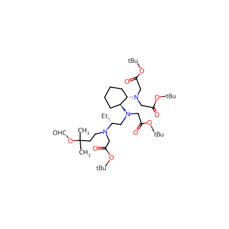 CC[C@H](CN(CC(=O)OC(C)(C)C)[C@H]1CCCC[C@@H]1N(CC(=O)OC(C)(C)C)CC(=O)OC(C)(C)C)N(CCC(C)(C)OC=O)CC(=O)OC(C)(C)C